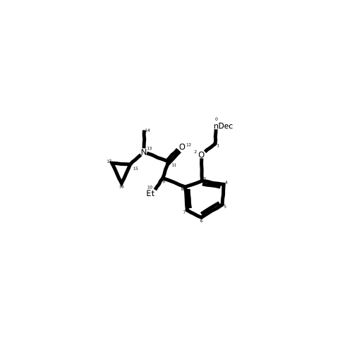 CCCCCCCCCCCOc1ccccc1C(CC)C(=O)N(C)C1CC1